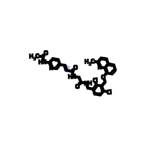 CC(=O)Nc1ccc(/C=C/C(=O)NCC(=O)NCc2ccc(Cl)c(COc3cccc4ccc(C)nc34)c2Cl)cn1